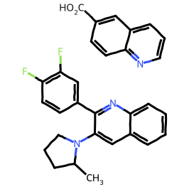 CC1CCCN1c1cc2ccccc2nc1-c1ccc(F)c(F)c1.O=C(O)c1ccc2ncccc2c1